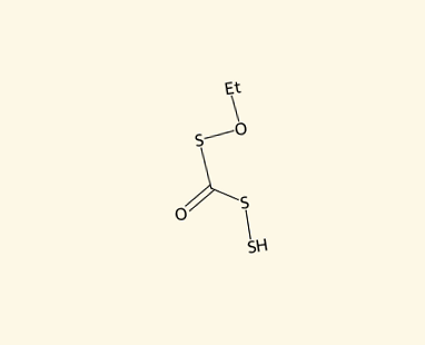 CCOSC(=O)SS